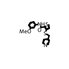 COc1cccc(NC(=O)c2sccc2SCc2ccncc2)c1